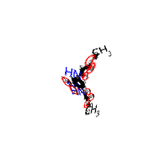 CCOC(=O)CC(=O)Nc1ccc(NC(=O)CC(=O)OCC)c([N+](=O)[O-])c1